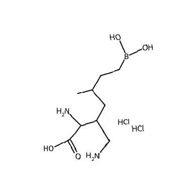 CC(CCB(O)O)CC(CN)C(N)C(=O)O.Cl.Cl